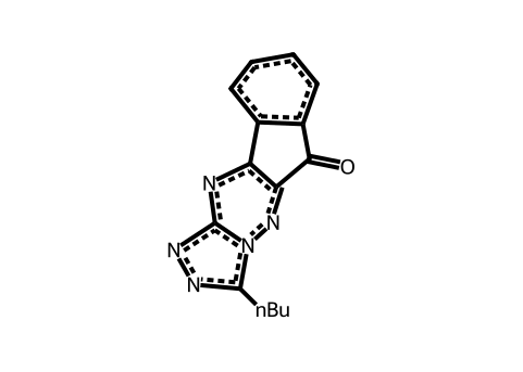 CCCCc1nnc2nc3c(nn12)C(=O)c1ccccc1-3